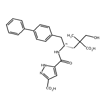 CC(CO)(C[C@@H](Cc1ccc(-c2ccccc2)cc1)NC(=O)c1cc(C(=O)O)n[nH]1)C(=O)O